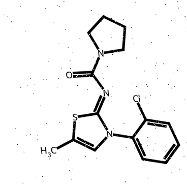 Cc1cn(-c2ccccc2Cl)c(=NC(=O)N2CCCC2)s1